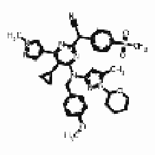 COc1ccc(CN(c2cc(C)n(C3CCCCO3)n2)c2nc(C(C#N)c3ccc(S(C)(=O)=O)cc3)nc(-c3cnn(C)c3)c2C2CC2)cc1